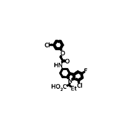 CCC(C(=O)O)n1c2c(c3cc(F)cc(Cl)c31)C[C@@H](NC(=O)COc1cccc(Cl)c1)CC2